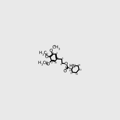 COc1cc(CCOC(=O)[C@@H]2CCCCN2)cc(OC)c1OC